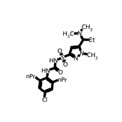 CCCc1cc(Cl)cc(CCC)c1NC(=O)NS(=O)(=O)c1cc(C(CC)N(C)C)n(C)n1